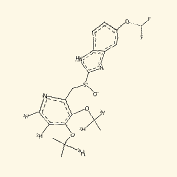 [2H]c1nc(C[S+]([O-])c2nc3cc(OC(F)F)ccc3[nH]2)c(OC([2H])([2H])C)c(OC([2H])(C)C)c1[2H]